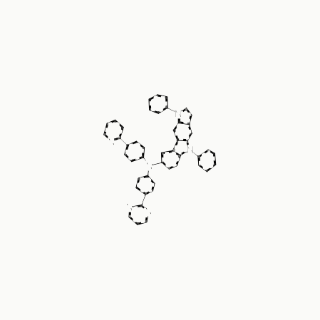 c1ccc(-n2ccc3cc4c(cc32)c2cc(N(c3ccc(-c5ccccn5)cc3)c3ccc(-c5ncccn5)cc3)ccc2n4-c2ccccc2)cc1